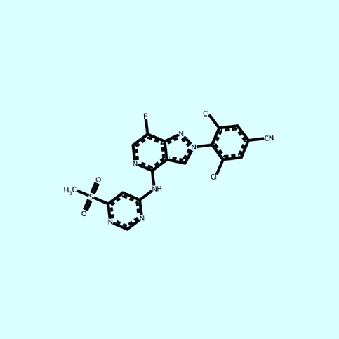 CS(=O)(=O)c1cc(Nc2ncc(F)c3nn(-c4c(Cl)cc(C#N)cc4Cl)cc23)ncn1